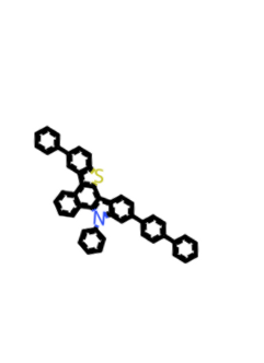 c1ccc(-c2ccc(-c3ccc4c5c6sc7ccc(-c8ccccc8)cc7c6c6ccccc6c5n(-c5ccccc5)c4c3)cc2)cc1